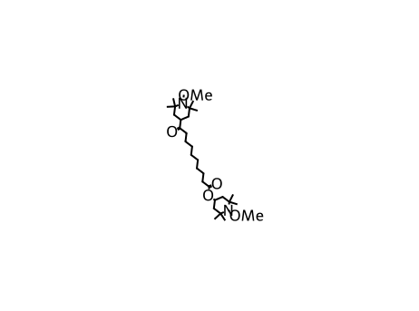 CON1C(C)(C)CC(OC(=O)CCCCCCCCC(=O)C2CC(C)(C)N(OC)C(C)(C)C2)CC1(C)C